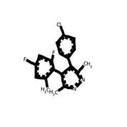 Cc1cc(F)cc(F)c1-c1c(C)nnc(C)c1-c1ccc(Cl)cc1